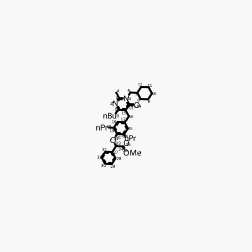 CCCCc1nc(C)n(CC2CCCCC2)c(=O)c1Cc1cc(CCC)c(OC(C(=O)OC)c2ccccc2)c(CCC)c1